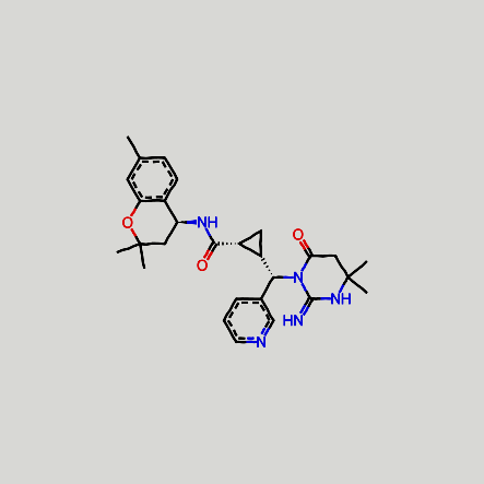 Cc1ccc2c(c1)OC(C)(C)C[C@@H]2NC(=O)[C@@H]1CC1[C@@H](c1cccnc1)N1C(=N)NC(C)(C)CC1=O